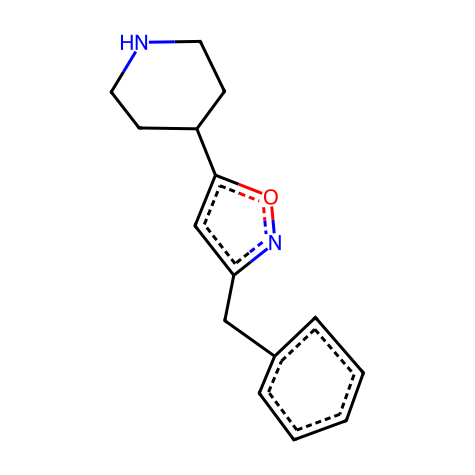 c1ccc(Cc2cc(C3CCNCC3)on2)cc1